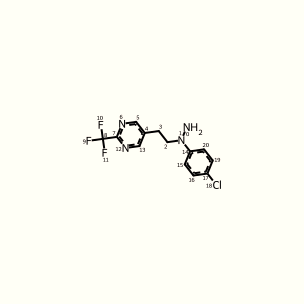 NN(CCc1cnc(C(F)(F)F)nc1)c1ccc(Cl)cc1